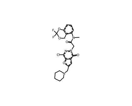 CN(C(=O)Cn1nc(Cl)c2oc(CN3CCCCC3)cc2c1=O)c1cccc2c1[CH]OC(F)(F)O2